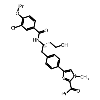 CC(C)Oc1ccc(C(=O)N[C@H](CCO)Cc2ccc(-c3cn(C)c(C(=O)C(C)C)n3)cc2)cc1Cl